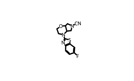 N#CN1CC2OCCN(c3nc4ccc(F)cc4s3)C2C1